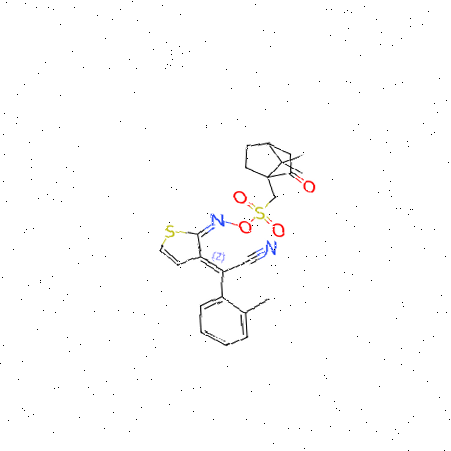 Cc1ccccc1/C(C#N)=C1\C=CSC1=NOS(=O)(=O)CC12CCC(CC1=O)C2(C)C